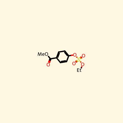 CCOS(=O)(=O)Oc1ccc(C(=O)OC)cc1